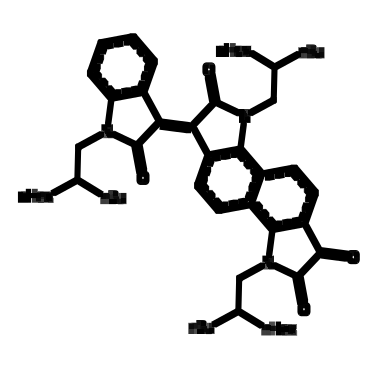 CCCCCCC(CCCC)CN1C(=O)/C(=C2/C(=O)N(CC(CCCC)CCCCCC)c3c2ccc2c4c(ccc32)C(=O)C(=O)N4CC(CCCC)CCCCCC)c2ccccc21